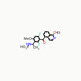 CCOc1nccc2c(C(=O)c3c(F)cc(OC)c(C(C)NC(=O)O)c3F)cccc12